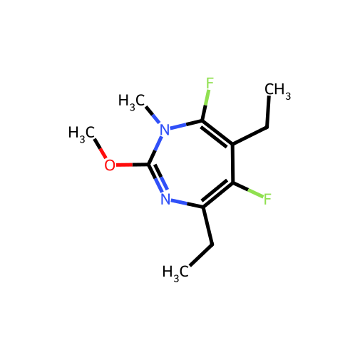 CCC1=C(F)C(CC)=C(F)N(C)C(OC)=N1